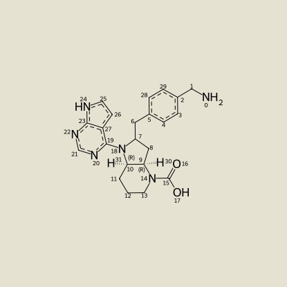 NCc1ccc(CC2C[C@@H]3[C@@H](CCCN3C(=O)O)N2c2ncnc3[nH]ccc23)cc1